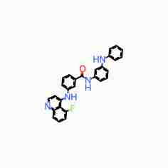 O=C(Nc1cccc(Nc2ccccc2)c1)c1cccc(Nc2ccnc3cccc(F)c23)c1